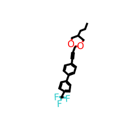 CCCC1COC(C#Cc2ccc(-c3ccc(C(F)(F)F)cc3)cc2)OC1